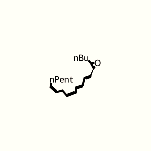 CCCCC/C=C\C\C=C/C=C/C=C/[C@@H]1OC1CCCC